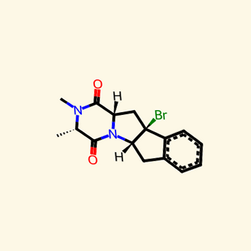 C[C@H]1C(=O)N2[C@H]3Cc4ccccc4[C@@]3(Br)C[C@H]2C(=O)N1C